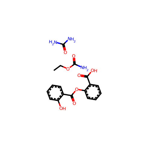 CCOC(N)=O.NC(N)=O.O=C(Oc1ccccc1C(=O)O)c1ccccc1O